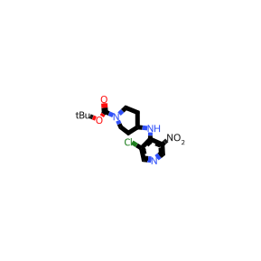 CC(C)(C)OC(=O)N1CCC(Nc2c(Cl)cncc2[N+](=O)[O-])CC1